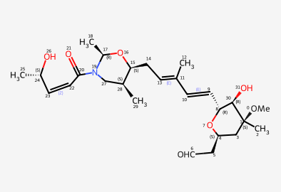 CO[C@@]1(C)C[C@@H](CC=O)O[C@H](/C=C/C(C)=C/C[C@@H]2O[C@H](C)N(C(=O)/C=C\[C@H](C)O)C[C@@H]2C)[C@H]1O